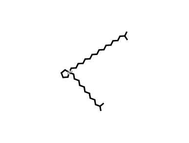 CC(C)CCCCCCCCCCCCCCC[N+]1(CCCCCCCCCCC(C)C)CCCC1